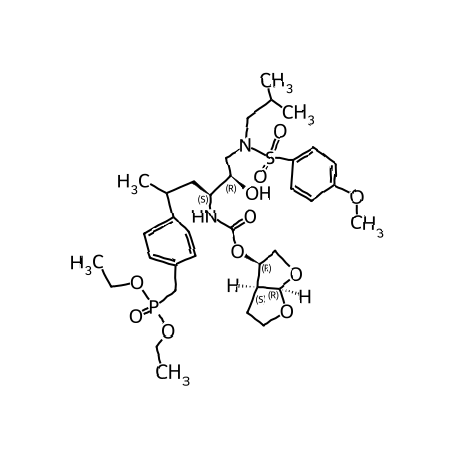 CCOP(=O)(Cc1ccc(C(C)C[C@H](NC(=O)O[C@H]2CO[C@H]3OCC[C@H]32)[C@H](O)CN(CC(C)C)S(=O)(=O)c2ccc(OC)cc2)cc1)OCC